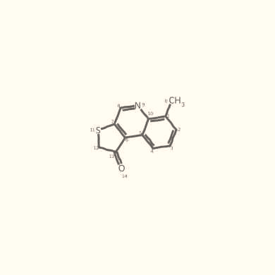 Cc1cccc2c3c(cnc12)SCC3=O